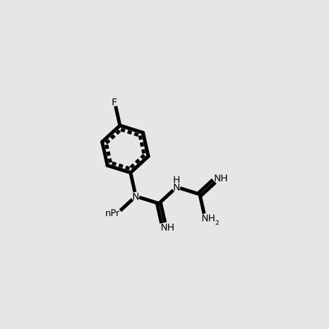 CCCN(C(=N)NC(=N)N)c1ccc(F)cc1